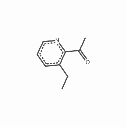 CCc1cccnc1C(C)=O